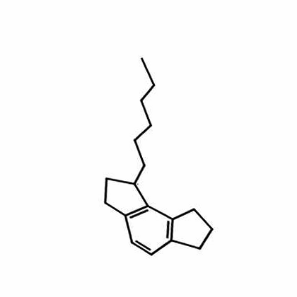 CCCCCC[C]1CCc2ccc3c(c21)CCC3